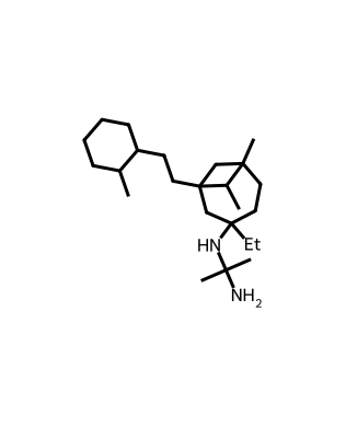 CCC1(NC(C)(C)N)CCC2(C)CC(CCC3CCCCC3C)(C1)C2C